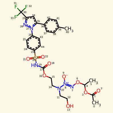 CC(=O)OC(C)O/N=[N+](\[O-])N(CCO)CCOC(=O)NS(=O)(=O)c1ccc(-n2nc(C(F)(F)F)cc2-c2ccc(C)cc2)cc1